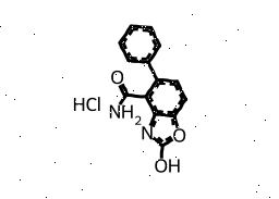 Cl.NC(=O)c1c(-c2ccccc2)ccc2oc(O)nc12